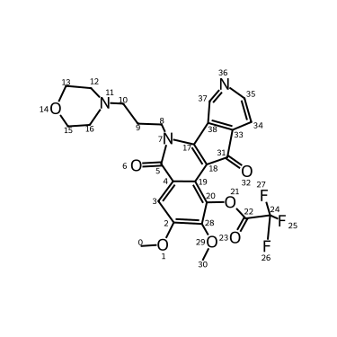 COc1cc2c(=O)n(CCCN3CCOCC3)c3c(c2c(OC(=O)C(F)(F)F)c1OC)C(=O)c1ccncc1-3